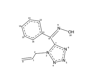 C=CCn1nnnc1C(=NO)c1ccccc1